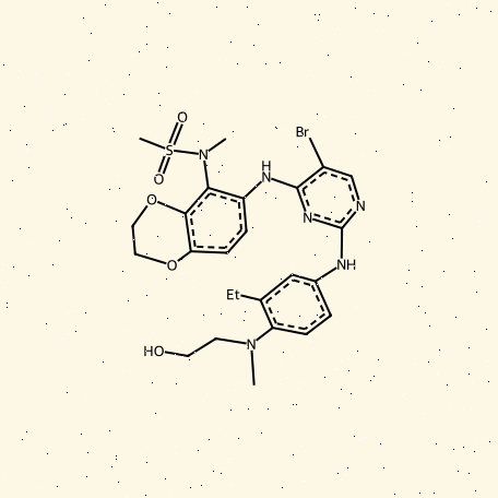 CCc1cc(Nc2ncc(Br)c(Nc3ccc4c(c3N(C)S(C)(=O)=O)OCCO4)n2)ccc1N(C)CCO